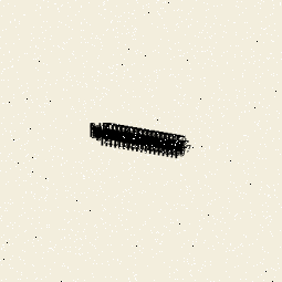 C[n+]1ccn(C(F)(F)C(F)(F)C(F)(F)C(F)(F)C(F)(F)C(F)(F)C(F)(F)C(F)(F)C(F)(F)C(F)(F)C(F)(F)C(F)(F)C(F)(F)C(F)(F)C(F)(F)C(F)(F)C(F)(F)C(F)(F)F)c1